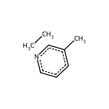 CC.Cc1cccnc1